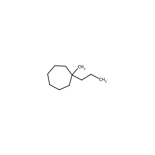 [CH2]CCC1(C)CCCCCC1